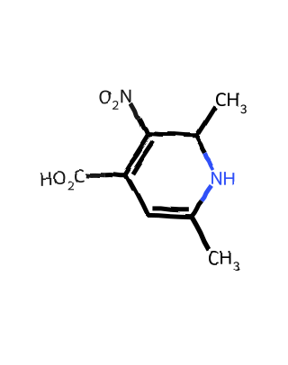 CC1=CC(C(=O)O)=C([N+](=O)[O-])C(C)N1